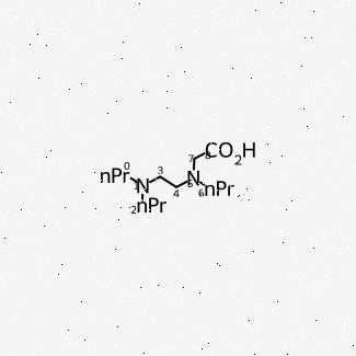 CCCN(CCC)CCN(CCC)CC(=O)O